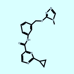 Cn1cnnc1SCc1cccc(NC(=O)c2ccnc(C3CC3)n2)c1